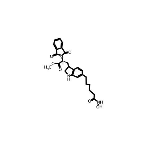 COC(=O)[C@H](CC1CNc2cc(CCCCCC(=O)NO)ccc21)N1C(=O)c2ccccc2C1=O